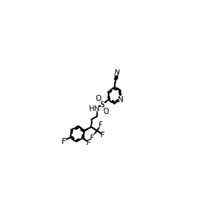 N#Cc1cncc(S(=O)(=O)NCCC(c2ccc(F)cc2F)C(F)(F)F)c1